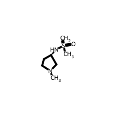 C=S(C)(=O)N[C@@H]1CCN(C)C1